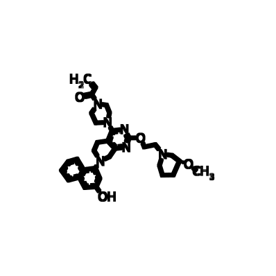 C=CC(=O)N1CCN(c2nc(OCCN3CCC[C@H](OC)C3)nc3c2CCN(c2cc(O)cc4ccccc24)C3)CC1